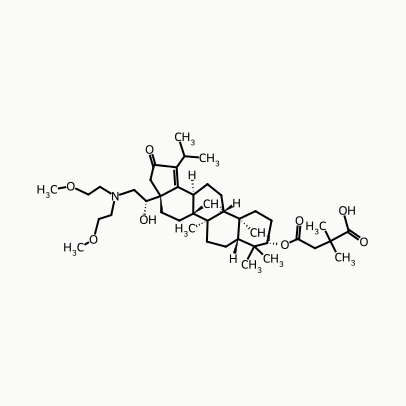 COCCN(CCOC)C[C@@H](O)[C@@]12CC[C@]3(C)[C@H](CC[C@@H]4[C@@]5(C)CC[C@H](OC(=O)CC(C)(C)C(=O)O)C(C)(C)[C@@H]5CC[C@]43C)C1=C(C(C)C)C(=O)C2